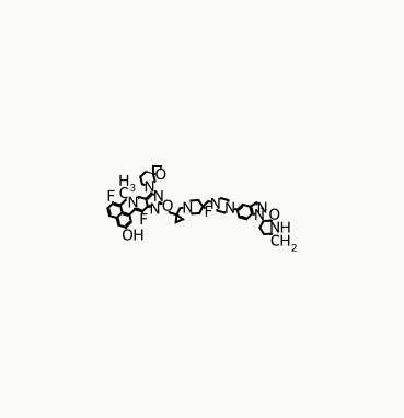 C=C1CCC(n2ncc3cc(N4CCN(CC5(F)CCN(CC6(COc7nc(N8CCC[C@]9(CCO9)C8)c8cnc(-c9cc(O)cc%10ccc(F)c(CC)c9%10)c(F)c8n7)CC6)CC5)CC4)ccc32)C(=O)N1